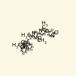 COc1nc(N(C)CCCO[Si](c2ccccc2)(c2ccccc2)C(C)(C)C)ncc1-c1ccc(Oc2ccnc(Cl)c2)c(C)n1